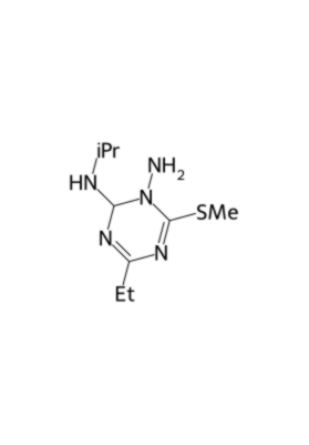 CCC1=NC(NC(C)C)N(N)C(SC)=N1